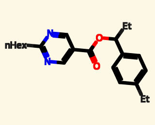 CCCCCCc1ncc(C(=O)OC(CC)c2ccc(CC)cc2)cn1